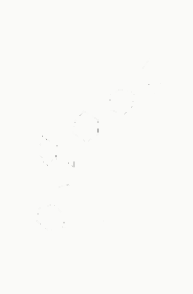 C[C@@H](OC(=O)Nc1nonc1-c1ccc(-c2ccc(C3(C=O)CC3)cc2)cc1)c1ccccc1Cl